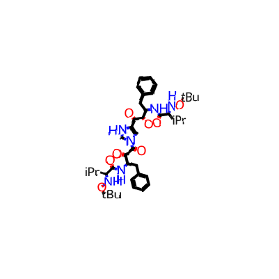 CC(C)C(NOC(C)(C)C)C(=O)NC(Cc1ccccc1)C(=O)C(=O)C1=CN(C(=O)C(=O)C(Cc2ccccc2)NC(=O)C(NOC(C)(C)C)C(C)C)CN1